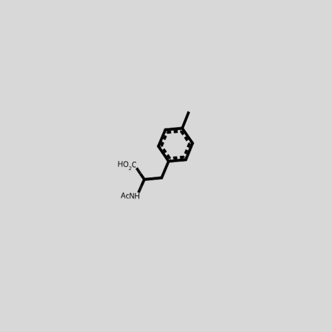 CC(=O)NC(Cc1ccc(C)cc1)C(=O)O